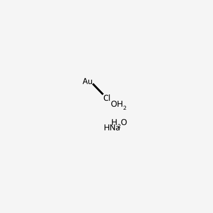 O.O.[Cl][Au].[NaH]